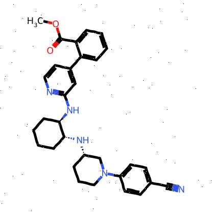 COC(=O)c1ccccc1-c1ccnc(N[C@@H]2CCCC[C@H]2N[C@H]2CCCN(c3ccc(C#N)cc3)C2)c1